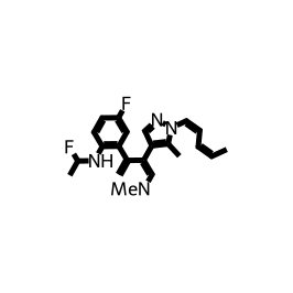 C=C(/C(=C\NC)c1cnn(/C=C\C=C/C)c1C)c1cc(F)ccc1NC(C)F